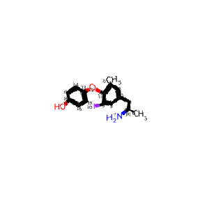 Cc1cc(C[C@@H](C)N)cc(I)c1Oc1ccc(O)cc1